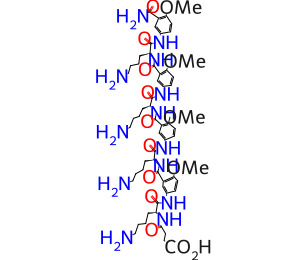 COc1ccc(NC(=O)[C@H](CCCCN)NC(=O)c2cc(NC(=O)[C@H](CCCCN)NC(=O)c3cc(NC(=O)[C@H](CCCCN)NC(=O)c4cc(NC(=O)[C@H](CCCCN)NC(=O)CCC(=O)O)ccc4OC)ccc3OC)ccc2OC)cc1C(N)=O